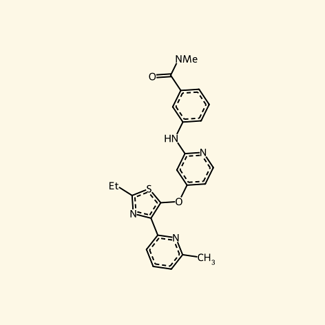 CCc1nc(-c2cccc(C)n2)c(Oc2ccnc(Nc3cccc(C(=O)NC)c3)c2)s1